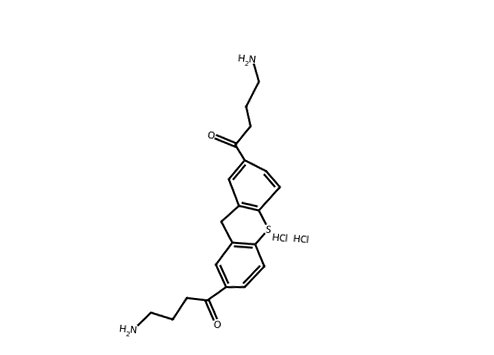 Cl.Cl.NCCCC(=O)c1ccc2c(c1)Cc1cc(C(=O)CCCN)ccc1S2